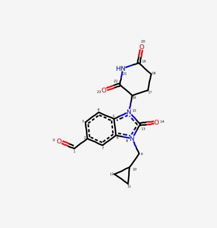 O=Cc1ccc2c(c1)n(CC1CC1)c(=O)n2C1CCC(=O)NC1=O